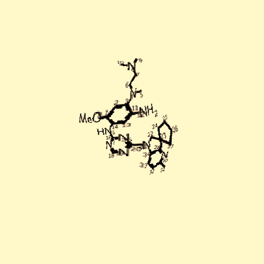 COc1cc(N(C)CCN(C)C)c(N)cc1Nc1ncnc(N2CC3(CCCC3)c3nc(C)ccc32)n1